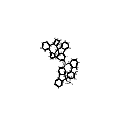 CC1(C)c2ccccc2-c2ccc(N(c3ccc4c(c3)-c3ccccc3C43c4ccccc4-c4ccccc4-c4ccccc43)c3cccc4oc5ccccc5c34)cc21